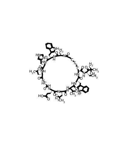 CC[C@H](NC(=O)[C@@H]1CSSCCC(=O)N[C@@H](C)C(=O)N[C@@H](Cc2c[nH]c3ccccc23)C(=O)N[C@@H](Cc2c[nH]cn2)C(=O)N[C@@H](CC(C)C)C(=O)NCC(=O)N[C@@H](CCC(=O)O)C(=O)N[C@@H](CC(C)C)C(=O)NC(C(C)C)C(=O)N[C@@H](Cc2c[nH]c3ccccc23)C(=O)N1)C(=O)C(C)(C)C